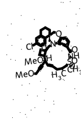 COCC#C[C@]1(OC)/C=C/C[C@H](C)[C@@H](C)S(=O)(=O)NC(=O)c2ccc3c(c2)N(C[C@@H]2CC[C@H]21)C[C@@]1(CCCc2cc(Cl)ccc21)CO3